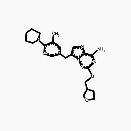 Cc1cc(Cc2cnc3c(N)nc(OCC4CCOC4)nn23)cnc1N1CCCCC1